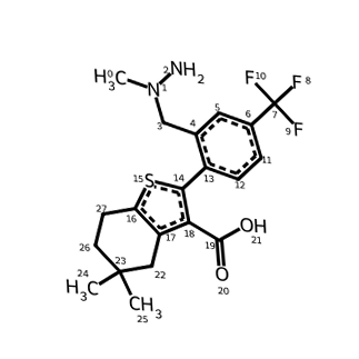 CN(N)Cc1cc(C(F)(F)F)ccc1-c1sc2c(c1C(=O)O)CC(C)(C)CC2